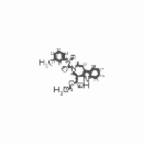 CCOC(=O)C1=CN(C(=O)N(F)c2cccc(C)c2)CCc2c1[nH]c1ccccc21